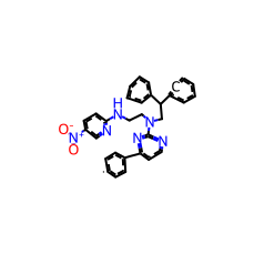 O=[N+]([O-])c1ccc(NCCN(CC(c2ccccc2)c2ccccc2)c2nccc(-c3cc[c]cc3)n2)nc1